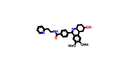 COc1cc2c(cc1OC)C1CC(O)CCC1N=C2c1ccc(C(=O)NCCc2ccccn2)cc1